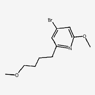 COCCCCc1cc(Br)cc(OC)n1